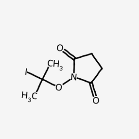 CC(C)(I)ON1C(=O)CCC1=O